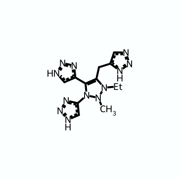 CCN1C(Cc2cnn[nH]2)=C(c2c[nH]nn2)N(c2c[nH]nn2)N1C